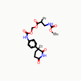 CCC1(c2ccc(NC(=O)OCOC(=O)C(CNC(=O)OC(C)(C)C)C(C)C)cc2)CCC(=O)NC1=O